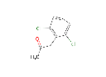 CC(=O)Cc1c(Cl)cccc1Cl